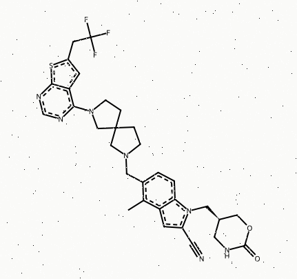 Cc1c(CN2CCC3(CCN(c4ncnc5sc(CC(F)(F)F)cc45)C3)C2)ccc2c1cc(C#N)n2C[C@@H]1CNC(=O)OC1